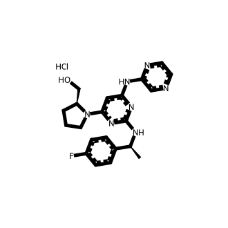 C[C@H](Nc1nc(Nc2cnccn2)cc(N2CCC[C@H]2CO)n1)c1ccc(F)cc1.Cl